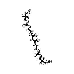 COCC(C)(C)COC(=O)OCCOC(=O)CC(=O)OCCOC(=O)OCC(C)(C)CO